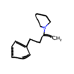 C=C(CCc1ccccc1)N1CCCC1